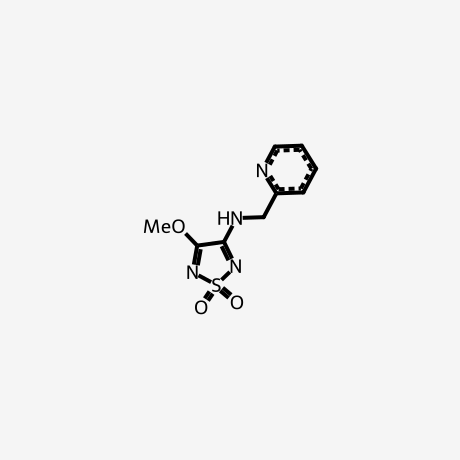 COC1=NS(=O)(=O)N=C1NCc1ccccn1